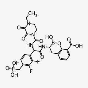 CCN1CCN(C(=O)N[C@@H](C(=O)N[C@H]2Cc3cccc(C(=O)O)c3OB2O)c2ccc(CP(=O)(O)O)c(F)c2F)C(=O)C1=O